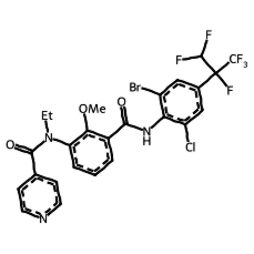 CCN(C(=O)c1ccncc1)c1cccc(C(=O)Nc2c(Cl)cc(C(F)(C(F)F)C(F)(F)F)cc2Br)c1OC